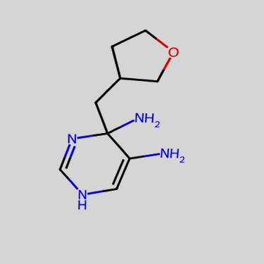 NC1=CNC=NC1(N)CC1CCOC1